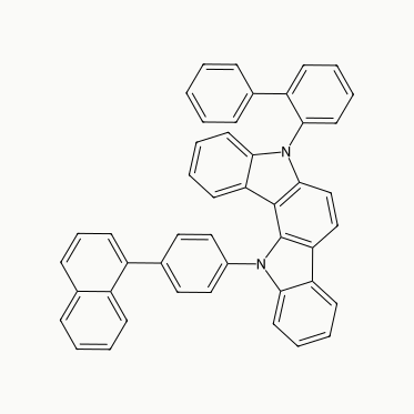 c1ccc(-c2ccccc2-n2c3ccccc3c3c2ccc2c4ccccc4n(-c4ccc(-c5cccc6ccccc56)cc4)c23)cc1